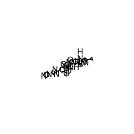 COc1cc2c(NS(=O)(=O)c3c(OC)cc(-c4ncc(N5CCN(C)CC5)cn4)cc3OC)noc2cc1Nc1cc(C2CC2)n[nH]1